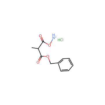 CC(C(=O)ON)C(=O)OCc1ccccc1.Cl